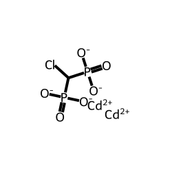 O=P([O-])([O-])C(Cl)P(=O)([O-])[O-].[Cd+2].[Cd+2]